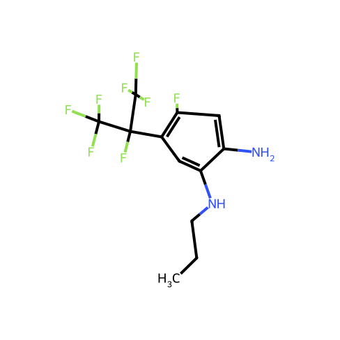 CCCNc1cc(C(F)(C(F)(F)F)C(F)(F)F)c(F)cc1N